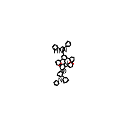 C1=C(c2ccccc2)N=C(c2cc(-c3ccccc3)c(-n3c4ccccc4c4c5oc6c(ccc7c6c6ccccc6n7-c6ccccc6)c5ccc43)c(-c3ccccc3)c2)NC1c1ccccc1